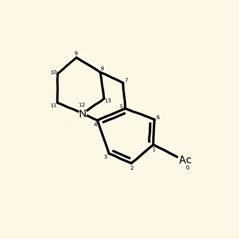 CC(=O)c1ccc2c(c1)CC1CCCN2C1